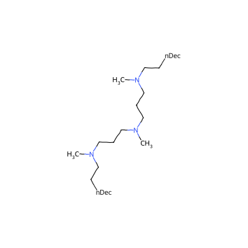 CCCCCCCCCCCCN(C)CCCN(C)CCCN(C)CCCCCCCCCCCC